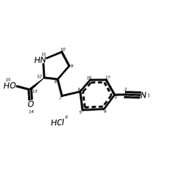 Cl.N#Cc1ccc(CC2CCN[C@@H]2C(=O)O)cc1